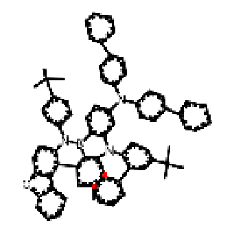 Cc1cc2c3c(c1)N(c1ccc(C(C)(C)C)cc1-c1ccccc1)c1cc(N(c4ccc(-c5ccccc5)cc4)c4ccc(-c5ccccc5)cc4)ccc1B3N(c1ccc(C(C)(C)C)cc1)c1ccc3oc4ccccc4c3c1-2